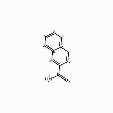 NC(=O)c1ccc2cc[c]cc2c1